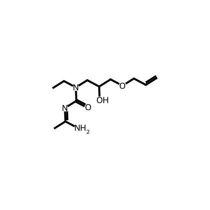 C=CCOCC(O)CN(CC)C(=O)N=C(C)N